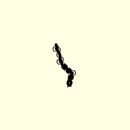 CCCC(=O)OCCOCCOC(=O)CCN1CCN(c2ccc(C(=O)c3ccc(N4CCN(C)CC4)cc3)cc2)CC1